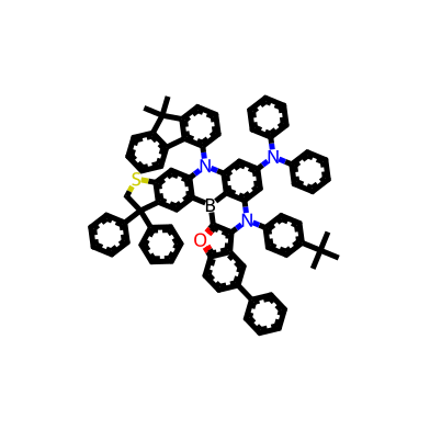 CC(C)(C)c1ccc(N2c3cc(N(c4ccccc4)c4ccccc4)cc4c3B(c3cc5c(cc3N4c3cccc4c3-c3ccccc3C4(C)C)SCC5(c3ccccc3)c3ccccc3)c3oc4ccc(-c5ccccc5)cc4c32)cc1